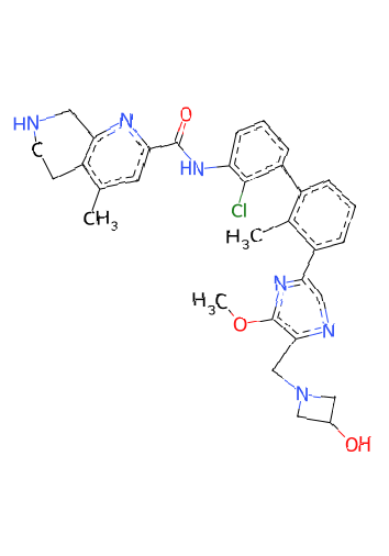 COc1nc(-c2cccc(-c3cccc(NC(=O)c4cc(C)c5c(n4)CNCC5)c3Cl)c2C)cnc1CN1CC(O)C1